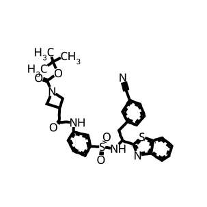 CC(C)(C)OC(=O)N1CC(C(=O)Nc2cccc(S(=O)(=O)NC(Cc3cccc(C#N)c3)c3nc4ccccc4s3)c2)C1